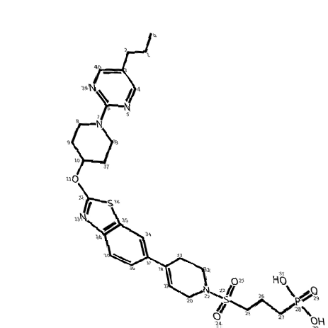 CCCc1cnc(N2CCC(Oc3nc4ccc(C5=CCN(S(=O)(=O)CCCP(=O)(O)O)CC5)cc4s3)CC2)nc1